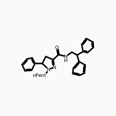 CCCCCN1N=C(C(=O)NCC(c2ccccc2)c2ccccc2)CC1c1ccccc1